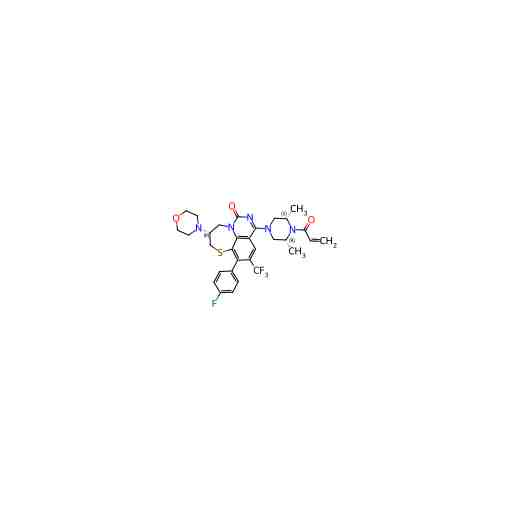 C=CC(=O)N1[C@H](C)CN(c2nc(=O)n3c4c(c(-c5ccc(F)cc5)c(C(F)(F)F)cc24)SC[C@H](N2CCOCC2)C3)C[C@@H]1C